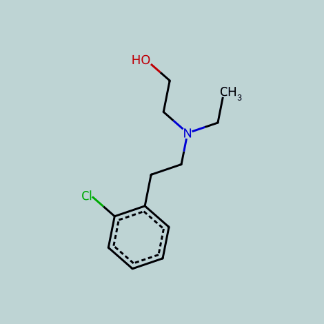 CCN(CCO)CCc1ccccc1Cl